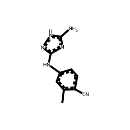 Cc1cc(Nc2n[nH]c(N)n2)ccc1C#N